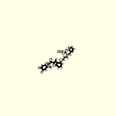 Cc1c(C(=O)c2nc3cc(F)c(F)cc3n2C)oc2cccc(OCCCN(Cc3cccnc3)C(=O)OC(C)(C)C)c12